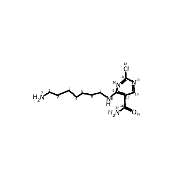 NCCCCCCCNc1nc(Cl)ncc1C(N)=O